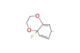 FC12C=C[CH]C=C1OCCO2